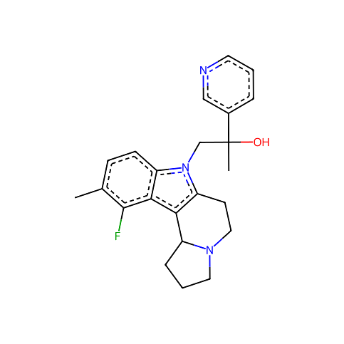 Cc1ccc2c(c1F)c1c(n2CC(C)(O)c2cccnc2)CCN2CCCC12